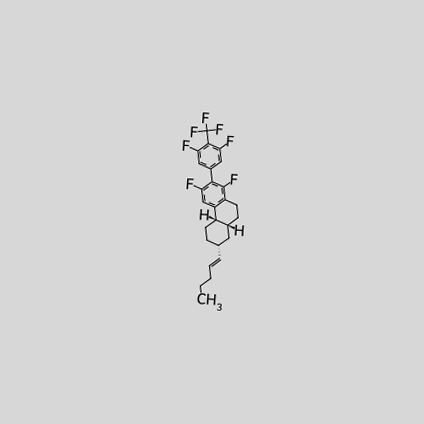 CCC/C=C/[C@@H]1CC[C@@H]2c3cc(F)c(-c4cc(F)c(C(F)(F)F)c(F)c4)c(F)c3CC[C@@H]2C1